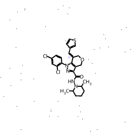 CC1CCCC(C)N1NC(=O)c1nn(-c2ccc(Cl)cc2Cl)c2c1COC/C2=C\c1ccsc1